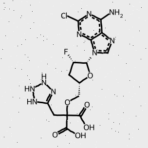 Nc1nc(Cl)nc2c1ncn2[C@@H]1O[C@H](COC(CC2=NNNN2)(C(=O)O)C(=O)O)C[C@@H]1F